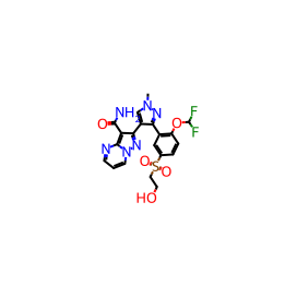 Cn1cc(-c2nn3cccnc3c2C(N)=O)c(-c2cc(S(=O)(=O)CCO)ccc2OC(F)F)n1